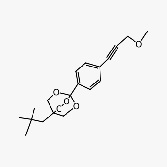 COCC#Cc1ccc(C23OCC(CC(C)(C)C)(CO2)CO3)cc1